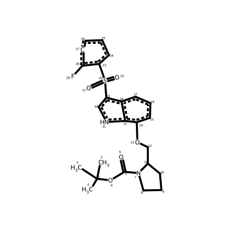 CC(C)(C)OC(=O)N1CCCC1COc1cccc2c(S(=O)(=O)c3ccccc3F)c[nH]c12